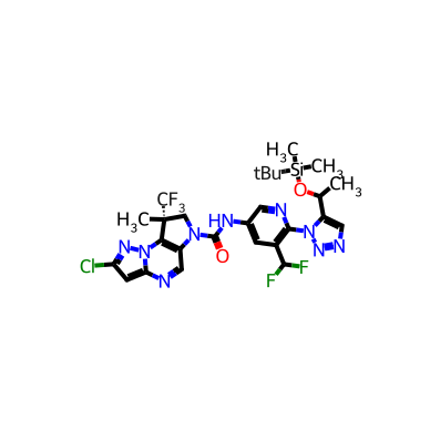 CC(O[Si](C)(C)C(C)(C)C)c1cnnn1-c1ncc(NC(=O)N2C[C@@](C)(C(F)(F)F)c3c2cnc2cc(Cl)nn32)cc1C(F)F